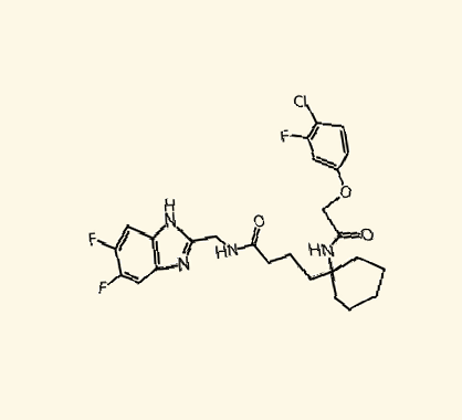 O=C(CCCC1(NC(=O)COc2ccc(Cl)c(F)c2)CCCCC1)NCc1nc2cc(F)c(F)cc2[nH]1